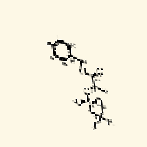 CC(OS(=O)(=O)CC(F)(F)F)C(=O)OCc1ccccc1